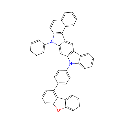 C1=CC(n2c3cc4c(cc3c3c5ccccc5ccc32)c2ccccc2n4-c2ccc(-c3cccc4oc5ccccc5c34)cc2)=CCC1